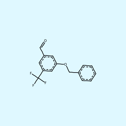 O=Cc1cc(OCc2ccccc2)cc(C(F)(F)F)c1